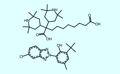 CC1(C)CC(C(CCCCCCCC(=O)O)(C(=O)O)C2CC(C)(C)NC(C)(C)C2)CC(C)(C)N1.Cc1cc(-n2nc3ccc(Cl)cc3n2)c(O)c(C(C)(C)C)c1